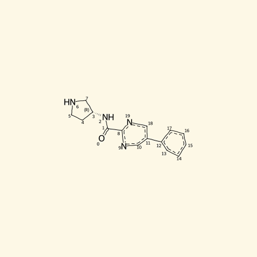 O=C(N[C@@H]1CCNC1)c1ncc(-c2ccccc2)cn1